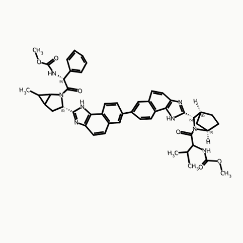 COC(=O)NC(C(=O)N1[C@@H]2CC[C@@H](C2)[C@H]1c1nc2ccc3cc(-c4ccc5c(ccc6nc([C@@H]7CC8C(C)C8N7C(=O)[C@H](NC(=O)OC)c7ccccc7)[nH]c65)c4)ccc3c2[nH]1)C(C)C